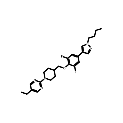 CCCCn1cc(-c2cc(F)c(OCC3CCN(c4ncc(CC)cn4)CC3)c(F)c2)cn1